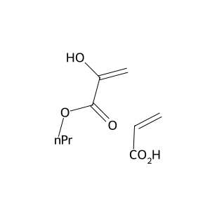 C=C(O)C(=O)OCCC.C=CC(=O)O